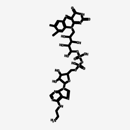 Cc1cc2nc3c(=O)[nH]c(=O)nc-3n(CC(O)C(O)C(O)C(O)OP(=O)(O)OP(=O)(O)OCC3OC(n4cnc5c(NCCN)ncnc54)C(O)C3O)c2cc1C